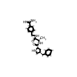 C[C@H](NC(=O)[C@@H]1C[C@@H](Cc2ccccc2)CN1)C(=O)NCc1ccc(C(=N)N)cc1